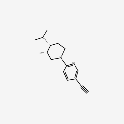 C#Cc1ccc(N2CC[C@@H](C(C)C)[C@@H](C)C2)nc1